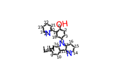 Oc1ccc(-n2c3ccccc3c3ncccc32)cc1-c1ccccn1.[LiH]